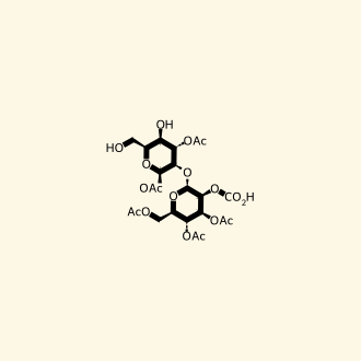 CC(=O)OC[C@H]1O[C@H](O[C@@H]2[C@@H](OC(C)=O)O[C@@H](CO)[C@@H](O)[C@@H]2OC(C)=O)[C@@H](OC(=O)O)[C@@H](OC(C)=O)[C@@H]1OC(C)=O